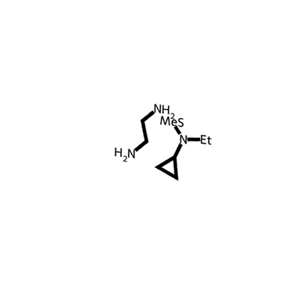 CCN(SC)C1CC1.NCCN